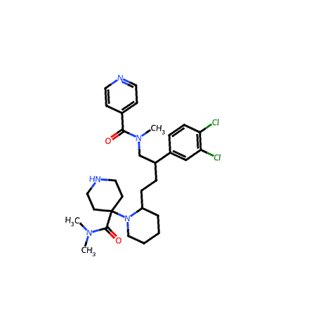 CN(C)C(=O)C1(N2CCCCC2CCC(CN(C)C(=O)c2ccncc2)c2ccc(Cl)c(Cl)c2)CCNCC1